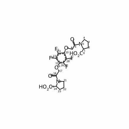 O=C(O)C1CCCN1C(=O)COc1c(F)c(F)c(OCC(=O)N2CCCC2C(=O)O)c(F)c1F